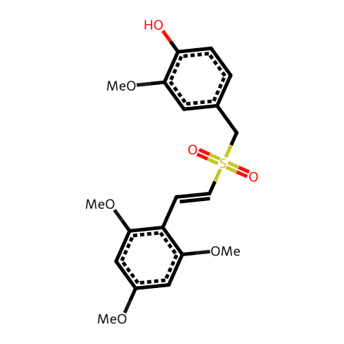 COc1cc(OC)c(C=CS(=O)(=O)Cc2ccc(O)c(OC)c2)c(OC)c1